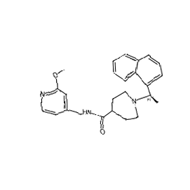 COc1cc(CNC(=O)C2CCN([C@H](C)c3cccc4ccccc34)CC2)ccn1